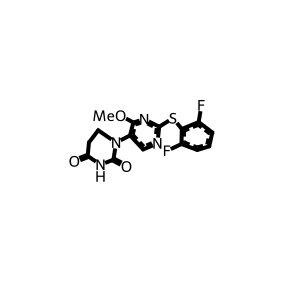 COc1nc(Sc2c(F)cccc2F)ncc1N1CCC(=O)NC1=O